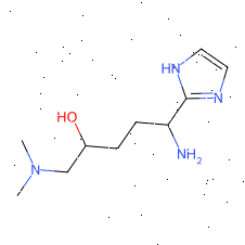 CN(C)CC(O)CCC(N)c1ncc[nH]1